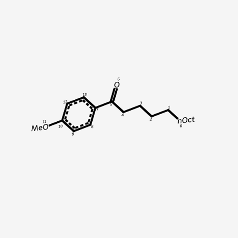 CCCCCCCCCCCCC(=O)c1ccc(OC)cc1